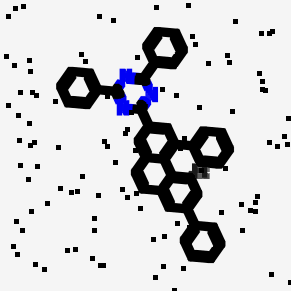 CCc1cc(-c2ccccc2)cc2ccc3cc(-c4nc(-c5ccccc5)nc(-c5ccccc5)n4)cc(-c4ccccc4)c3c12